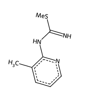 CSC(=N)Nc1ncccc1C